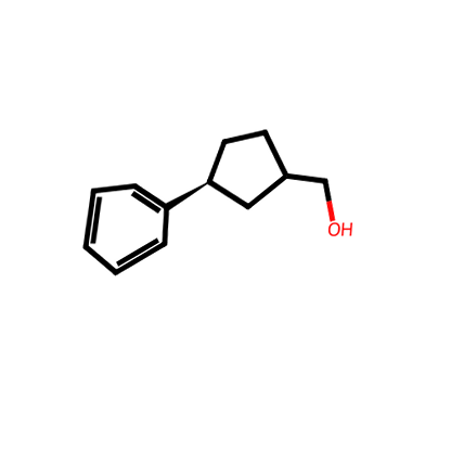 OCC1CC[C@H](c2ccccc2)C1